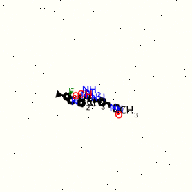 C=C(Nc1nc(N)nc(-c2cccc(-n3ccc4cc(C5CC5)cc(F)c4c3=O)c2CO)c1C)c1ccc(CCN2CCN(C)C(=O)C2)cc1